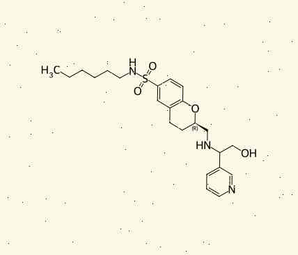 CCCCCCNS(=O)(=O)c1ccc2c(c1)CC[C@H](CNC(CO)c1cccnc1)O2